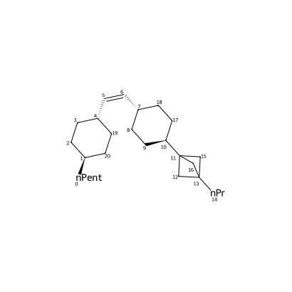 CCCCC[C@H]1CC[C@H](/C=C\[C@H]2CC[C@H](C34CC(CCC)(C3)C4)CC2)CC1